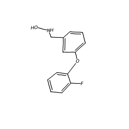 ONCc1cccc(Oc2ccccc2F)c1